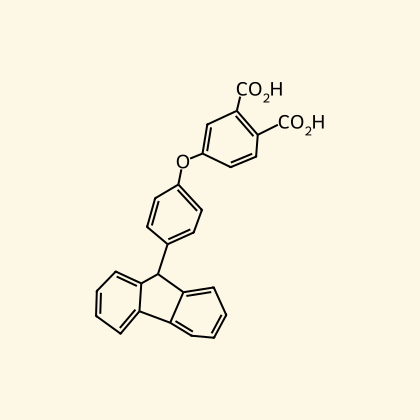 O=C(O)c1ccc(Oc2ccc(C3c4ccccc4-c4ccccc43)cc2)cc1C(=O)O